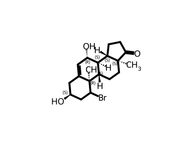 C[C@]12CC[C@H]3[C@@H]([C@@H](O)C=C4C[C@H](O)CC(Br)[C@@]43C)[C@@H]1CCC2=O